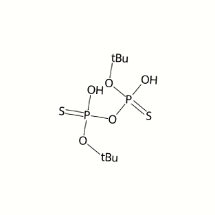 CC(C)(C)OP(O)(=S)OP(O)(=S)OC(C)(C)C